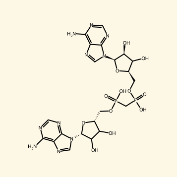 Nc1ncnc2c1ncn2[C@@H]1O[C@H](COP(=O)(O)CP(=O)(O)OC[C@H]2O[C@@H](n3cnc4c(N)ncnc43)[C@@H](O)C2O)C(O)C1O